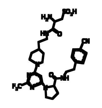 N#Cc1ccc(CCNC(=O)C2CCCN2c2cc(N3CCC(CCNC(=O)C(N)CS(=O)(=O)O)CC3)nc(C(F)(F)F)n2)cc1